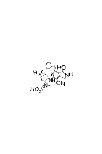 Cc1cccc(Nc2nc(NC3CCCCC3NC(=O)O)c(C#N)c3c2C(=O)NC3)c1